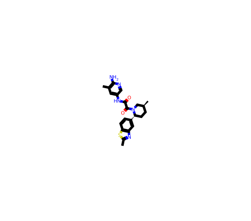 Cc1nc2cc([C@H]3CC[C@H](C)CN3C(=O)C(=O)Nc3cnc(N)c(C)c3)ccc2s1